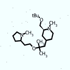 CN1CCCC1CCOC(C)(C)CC1CCN(C)[C@H](COC(C)(C)C)C1